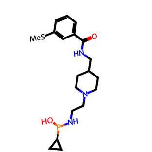 CSc1cccc(C(=O)NCC2CCN(CCNP(O)C3CC3)CC2)c1